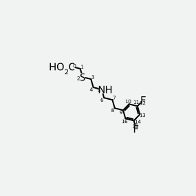 O=C(O)CSCCNCCCc1cc(F)cc(F)c1